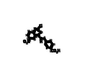 O=C(O)c1ccc(CNc2nc(Cl)nc3ccc([N+](=O)[O-])cc23)cc1